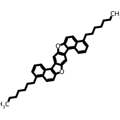 CCCCCCCc1cccc2c1ccc1oc3cc4c(cc3c12)oc1ccc2c(CCCCCCC)cccc2c14